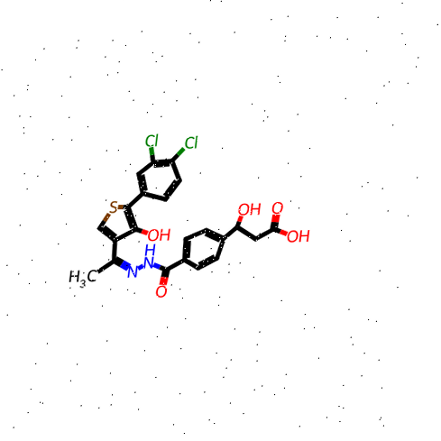 CC(=NNC(=O)c1ccc(C(O)CC(=O)O)cc1)c1csc(-c2ccc(Cl)c(Cl)c2)c1O